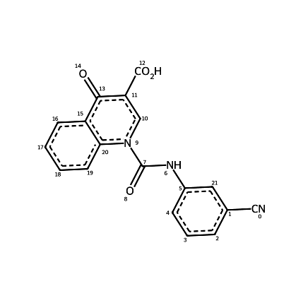 N#Cc1cccc(NC(=O)n2cc(C(=O)O)c(=O)c3ccccc32)c1